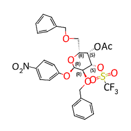 CC(=O)O[C@@H]1[C@H](OS(=O)(=O)C(F)(F)F)[C@@H](OCc2ccccc2)[C@@H](Oc2ccc([N+](=O)[O-])cc2)O[C@@H]1COCc1ccccc1